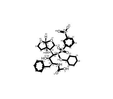 O=C(O)N[C@@H](Cc1ccccc1)[C@@H](O)C([C@@H]1CO[C@H]2OCC[C@H]21)N(OC1CCCCC1)S(=O)(=O)c1cccc([N+](=O)[O-])c1